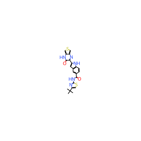 CC(C)(C)c1csc(NC(=O)c2ccc3[nH]c(-c4nc5cscc5[nH]c4=O)cc3c2)n1